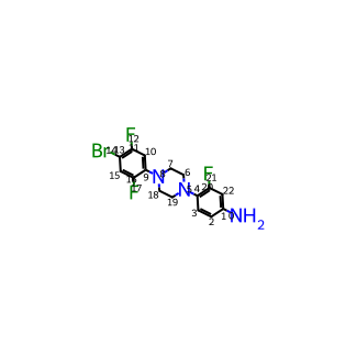 Nc1ccc(N2CCN(c3cc(F)c(Br)cc3F)CC2)c(F)c1